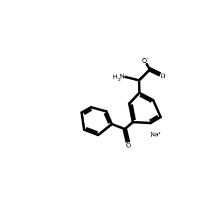 NC(C(=O)[O-])c1cccc(C(=O)c2ccccc2)c1.[Na+]